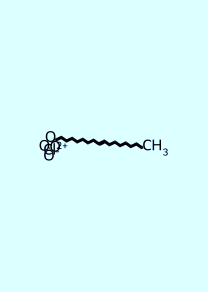 CCCCCCCCC=CCCCCCCCC(=O)O[Cl+2]([O-])[O-]